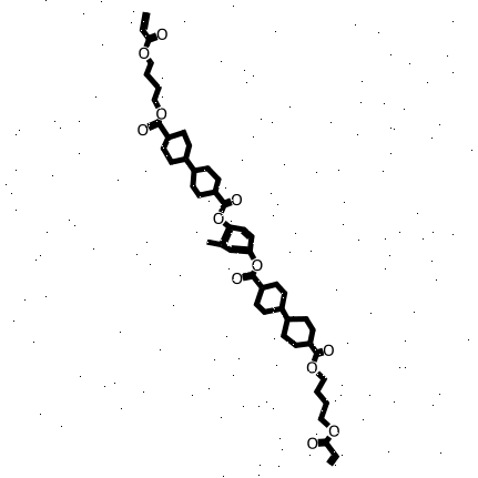 C=CC(=O)OCCCCOC(=O)C1CCC(C2CCC(C(=O)Oc3ccc(OC(=O)C4CCC(C5CCC(C(=O)OCCCCOC(=O)C=C)CC5)CC4)c(C)c3)CC2)CC1